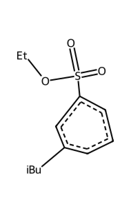 CCOS(=O)(=O)c1cccc(C(C)CC)c1